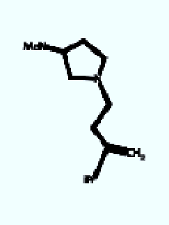 C=C(CCN1CCC(NC)C1)C(C)C